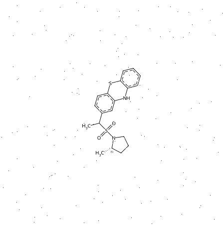 CC(c1ccc2c(c1)Nc1ccccc1S2)S(=O)(=O)N1CCC[C@@H]1C